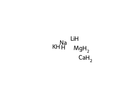 [CaH2].[KH].[LiH].[MgH2].[NaH]